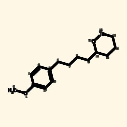 COc1ccc(CCCCC2CCC[Te]O2)cc1